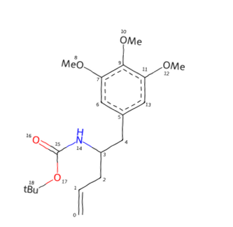 C=CCC(Cc1cc(OC)c(OC)c(OC)c1)NC(=O)OC(C)(C)C